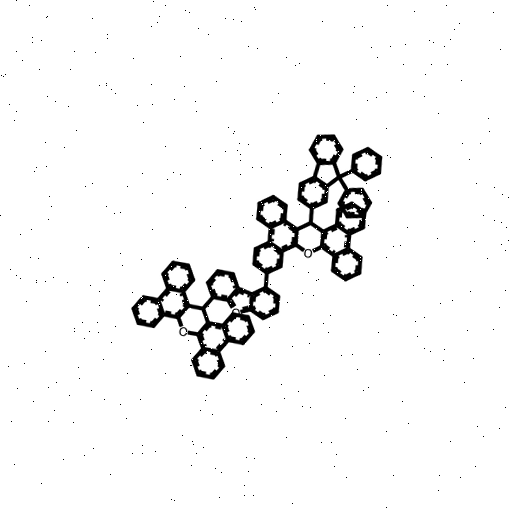 c1ccc(C2(c3ccccc3)c3ccccc3-c3ccc(C4c5c(c6ccccc6c6ccccc56)Oc5c4c4ccccc4c4ccc(-c6cccc7oc8c(C9c%10c(c%11ccccc%11c%11ccccc%10%11)Oc%10c9c9ccccc9c9ccccc%109)cccc8c67)cc54)cc32)cc1